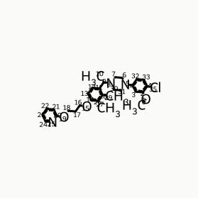 COc1cc(N2CCN(C(C)c3ccc(OCCCOc4ccccn4)c(C)c3C)CC2)ccc1Cl